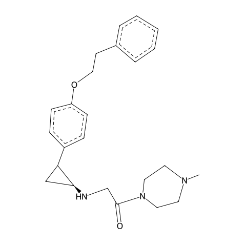 CN1CCN(C(=O)CN[C@H]2CC2c2ccc(OCCc3ccccc3)cc2)CC1